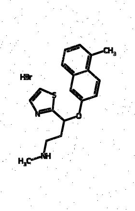 Br.CNCCC(Oc1ccc2c(C)cccc2c1)c1nccs1